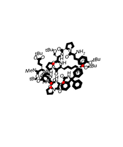 CNC(=O)[C@H](CCC(=O)OC(C)(C)C)NC(=O)CNC(=O)[C@@H]1CCCN1C(=O)[C@H](CC(=O)NC(c1ccccc1)(c1ccccc1)c1ccccc1)NC(=O)[C@H](CC(=O)OC(C)(C)C)NC(=O)[C@@H]1CCCN1C(=O)[C@H](CCCCNC(=O)OC(C)(C)C)NC(=O)[C@H](COC(C)(C)C)NC(=O)[C@@H]1CCCN1C(=O)[C@@H](N)Cc1ccc(OC(C)(C)C)cc1